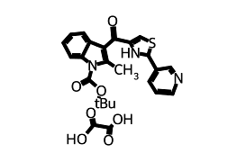 Cc1c(C(=O)C2=CSC(c3cccnc3)N2)c2ccccc2n1C(=O)OC(C)(C)C.O=C(O)C(=O)O